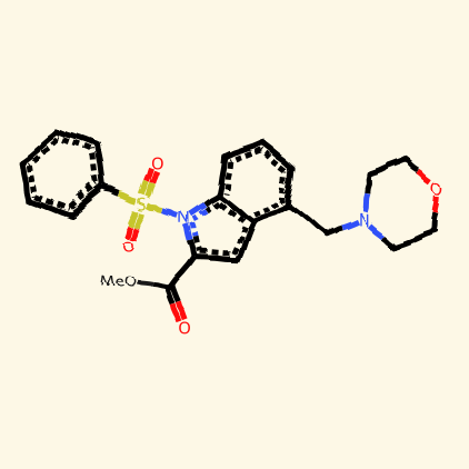 COC(=O)c1cc2c(CN3CCOCC3)cccc2n1S(=O)(=O)c1ccccc1